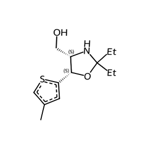 CCC1(CC)N[C@@H](CO)[C@@H](c2cc(C)cs2)O1